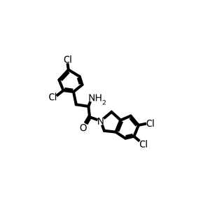 NC(Cc1ccc(Cl)cc1Cl)C(=O)N1Cc2cc(Cl)c(Cl)cc2C1